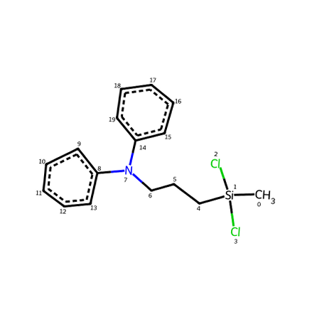 C[Si](Cl)(Cl)CCCN(c1ccccc1)c1ccccc1